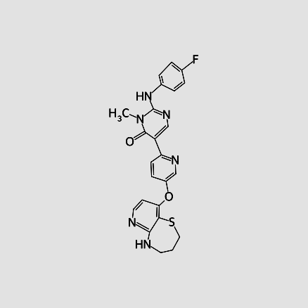 Cn1c(Nc2ccc(F)cc2)ncc(-c2ccc(Oc3ccnc4c3SCCCN4)cn2)c1=O